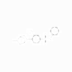 CN1CC2CC1CN2c1ccc(S(=O)(=O)Nc2ccccc2)cc1[N+](=O)[O-]